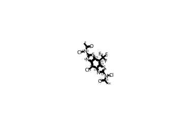 CC(=O)N(Cl)c1nc2c(Cl)c3nc(N(Cl)C(C)=O)sc3c(C(F)(F)F)c2s1